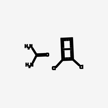 Clc1c2ccc-2c1Cl.NC(N)=O